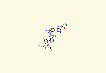 CCCC(=O)Nc1cncc(-c2ccc3[nH]nc(-c4nc5c(-c6cc(F)cc(C(N)S(C)(=O)=O)c6)nccc5[nH]4)c3c2)c1